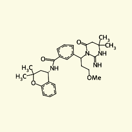 COCCC(c1cccc(C(=O)N[C@H]2CC(C)(C)Oc3ccccc32)c1)N1C(=N)NC(C)(C)CC1=O